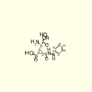 Cl.NC(C(=O)O)C1C(C(=O)O)C1C(=O)NNc1ccccc1